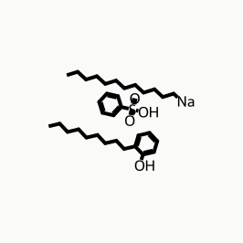 CCCCCCCCCCC[CH2][Na].CCCCCCCCCc1ccccc1O.O=S(=O)(O)c1ccccc1